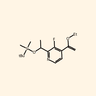 C=C(OCC)c1ccnc(C(C)O[Si](C)(C)C(C)(C)C)c1F